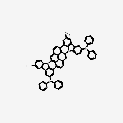 Cc1ccc2c(c1)-c1cc(N(c3ccccc3)c3ccccc3)cc3c1B2c1cc2ccc4c5c(cc6ccc-3c1c6c25)B1c2ccc(N(c3ccccc3)c3ccccc3)cc2-c2cc(C)cc-4c21